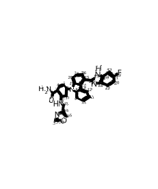 NC(=O)c1ccc(-n2c3ccccc3c3c(-c4nc5ccc(F)cc5[nH]4)cccc32)cc1NCc1cocn1